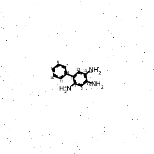 Nc1cc(N)c(-c2ccccc2)cc1N